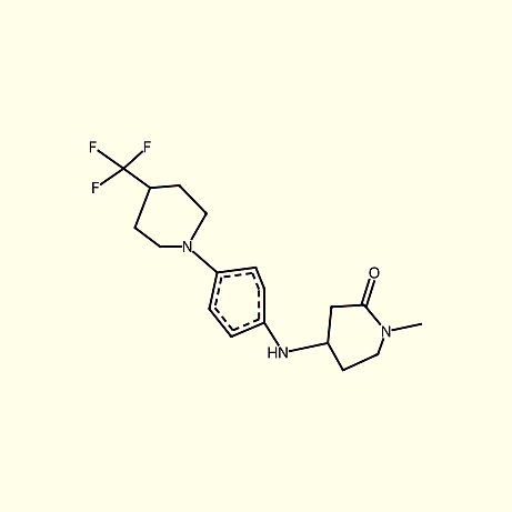 CN1CCC(Nc2ccc(N3CCC(C(F)(F)F)CC3)cc2)CC1=O